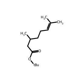 CC(C)=CCCC(C)CC(=O)OC(C)(C)C